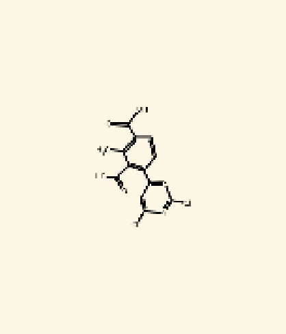 Cc1c(C(=O)O)ccc(-c2cc(Cl)nc(Cl)n2)c1C(=O)O